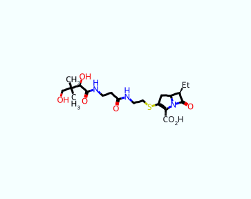 CC[C@H]1C(=O)N2C(C(=O)O)=C(SCCNC(=O)CCNC(=O)[C@H](O)C(C)(C)CO)CC12